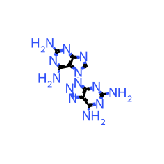 Nc1nc(N)c2c(ncn2-n2nnc3c(N)nc(N)nc32)n1